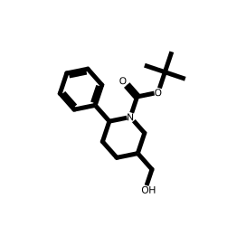 CC(C)(C)OC(=O)N1CC(CO)CCC1c1ccccc1